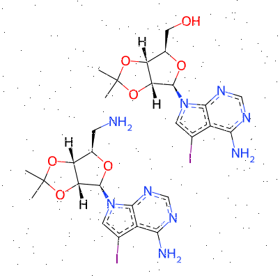 CC1(C)O[C@@H]2[C@H](O1)[C@@H](CN)O[C@H]2n1cc(I)c2c(N)ncnc21.CC1(C)O[C@@H]2[C@H](O1)[C@@H](CO)O[C@H]2n1cc(I)c2c(N)ncnc21